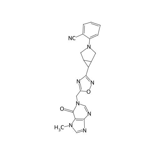 Cn1cnc2ncn(Cc3nc(C4C5CN(c6ccccc6C#N)CC54)no3)c(=O)c21